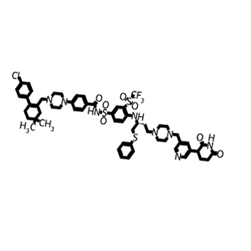 CC1(C)CCC(c2ccc(Cl)cc2)=C(CN2CCN(c3ccc(C(=O)NS(=O)(=O)c4ccc(N[C@H](CCN5CCN(Cc6cncc(C7CCC(=O)NC7=O)c6)CC5)CSc5ccccc5)c(S(=O)(=O)C(F)(F)F)c4)cc3)CC2)C1